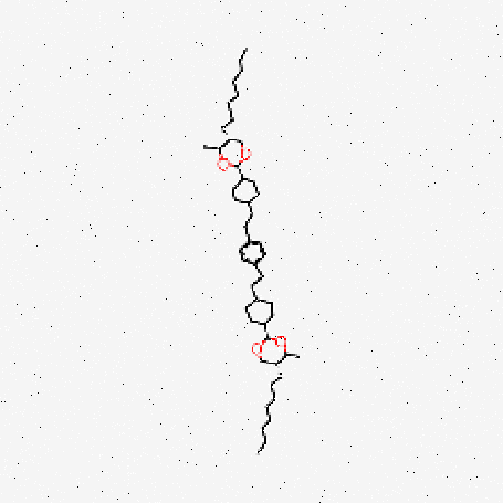 CCCCCCCC[C@@H]1CO[C@@H](C2CCC(CCc3ccc(CCC4CCC([C@@H]5OC[C@@H](CCCCCCCC)[C@H](C)O5)CC4)cc3)CC2)O[C@H]1C